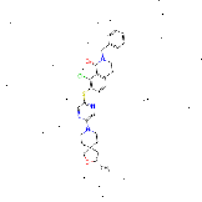 C[C@H]1CC2(CCN(c3cnc(Sc4ccc5c(c4Cl)C(=O)N(Cc4ccccc4)CC5)cn3)CC2)CO1